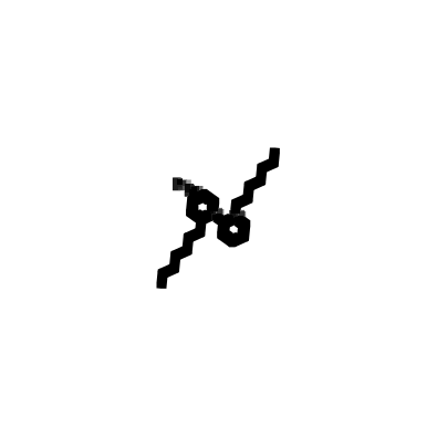 CCCCCCCc1cccc[n+]1-c1cccc[n+]1CCCCCCC.[Br-].[Br-]